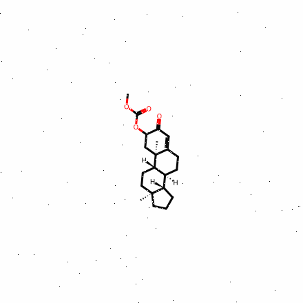 COC(=O)OC1C[C@@]2(C)C(=CC1=O)CC[C@H]1[C@@H]3CCC[C@@]3(C)CC[C@@H]12